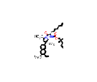 C=CCCCCC[C@H](NC(=O)OCC(C)(C)CC=C)C(=O)N1C[C@](OC)(c2ccc3cc(OC)c(C=C)cc3c2)C[C@H]1C(=O)O